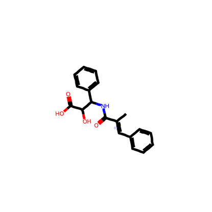 C/C(=C\c1ccccc1)C(=O)NC(c1ccccc1)C(O)C(=O)O